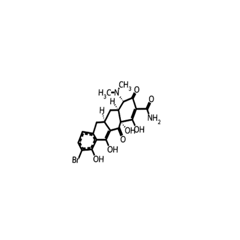 CN(C)[C@@H]1C(=O)C(C(N)=O)=C(O)[C@@]2(O)C(=O)C3=C(O)c4c(ccc(Br)c4O)C[C@H]3C[C@@H]12